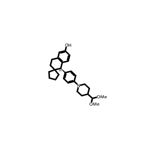 COC(OC)C1CCN(c2ccc([C@@H]3c4ccc(O)cc4CCC34CCCC4)cc2)CC1